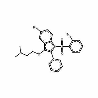 CN(C)CCOc1c(-c2ccccc2)n(S(=O)(=O)c2ccccc2Br)c2ccc(Br)cc12